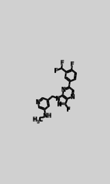 CNc1cncc(Cn2nc(F)c3ncc(-c4ccc(F)c(C(F)F)c4)nc32)c1